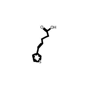 O=C(O)CC/C=C/c1ccsc1